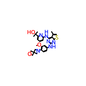 COc1cc(Nc2nc(Nc3cccc(C(C)(C)O)n3)c3c(C)csc3n2)ccc1N1CC2(COC2)C1